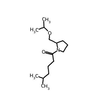 CC(C)CCCC(=O)N1CCCC1COC(C)C